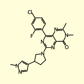 Cc1nc2c(-c3ccc(Cl)cc3F)nc(N3CCC(c4cnn(C)c4)C3)nc2c(=O)n1C